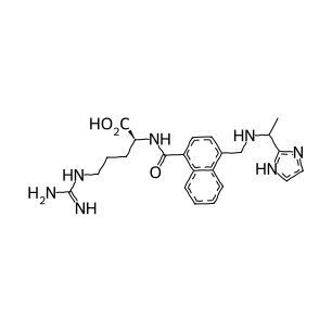 CC(NCc1ccc(C(=O)N[C@@H](CCCNC(=N)N)C(=O)O)c2ccccc12)c1ncc[nH]1